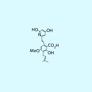 COc1cc(/C=C/c2cc(O)cc(O)n2)c(C(=O)O)c(O)c1CC=C(C)C